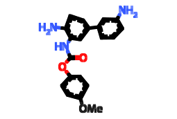 COc1ccc(OC(=O)Nc2cc(-c3cccc(N)c3)ccc2N)cc1